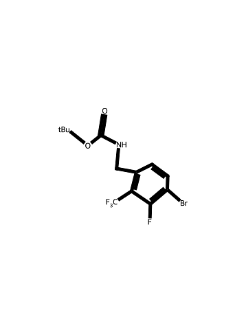 CC(C)(C)OC(=O)NCc1ccc(Br)c(F)c1C(F)(F)F